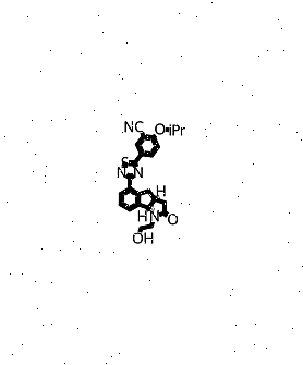 CC(C)Oc1ccc(-c2nc(-c3cccc4c3C[C@@H]3CC(=O)N(CCO)[C@H]43)ns2)cc1C#N